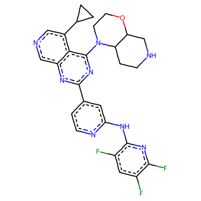 Fc1cc(F)c(Nc2cc(-c3nc(N4CCOC5CNCCC54)c4c(C5CC5)cncc4n3)ccn2)nc1F